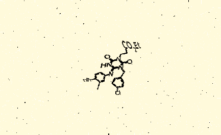 CCCc1ccc(/N=c2\[nH]c(=O)n(CCC(=O)OCC)c(=O)n2Cc2ccc(Cl)cc2)cc1C